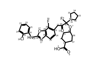 O=C(O)C1CCC(OC(F)(C(=O)Cc2ccc3nc(Nc4ccccc4Cl)oc3c2F)N2CCCC2)CC1